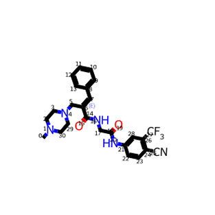 CN1CCN(C/C(=C\c2ccccc2)C(=O)NCC(=O)Nc2ccc(C#N)c(C(F)(F)F)c2)CC1